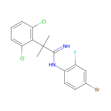 CC(C)(C(=N)Nc1ccc(Br)cc1F)c1c(Cl)cccc1Cl